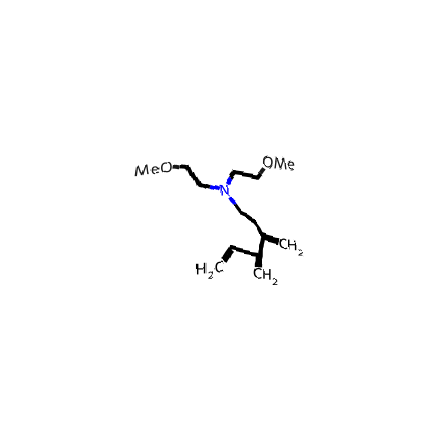 C=CC(=C)C(=C)CCN(CCOC)CCOC